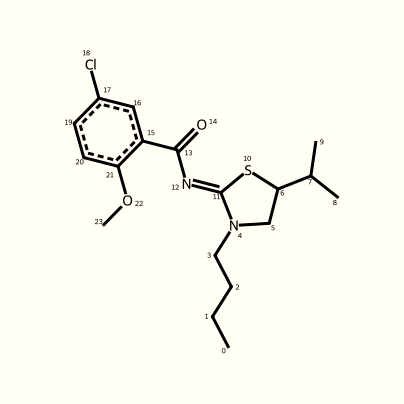 CCCCN1CC(C(C)C)SC1=NC(=O)c1cc(Cl)ccc1OC